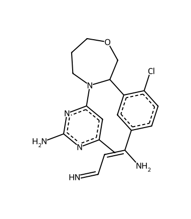 Cc1cc(N2CCCOCC2c2cc(/C(N)=C/C=N)ccc2Cl)nc(N)n1